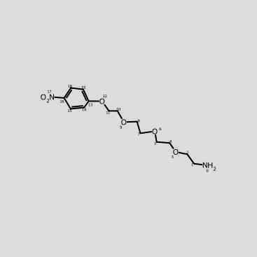 NCCOCCOCCOCCOc1ccc([N+](=O)[O-])cc1